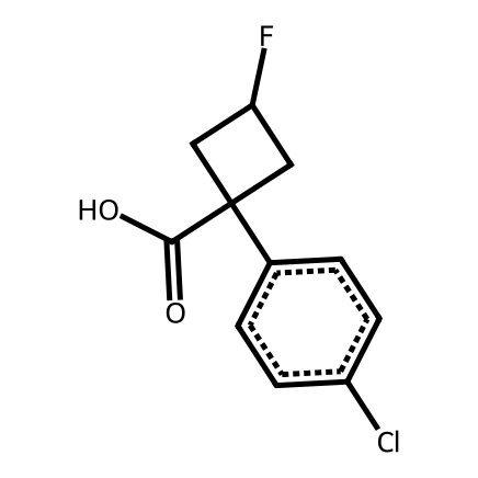 O=C(O)C1(c2ccc(Cl)cc2)CC(F)C1